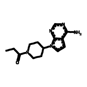 CCC(=O)N1CCC(n2ccc3c(N)ncnc32)CC1